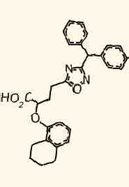 O=C(O)C(CCc1nc(C(c2ccccc2)c2ccccc2)no1)Oc1cccc2c1CCCC2